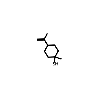 C=C(C)C1CCC(C)(S)CC1